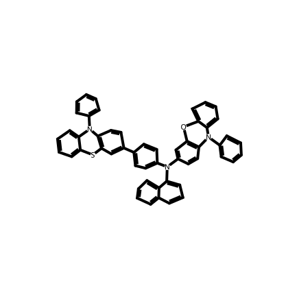 c1ccc(N2c3ccccc3Oc3cc(N(c4ccc(-c5ccc6c(c5)Sc5ccccc5N6c5ccccc5)cc4)c4cccc5ccccc45)ccc32)cc1